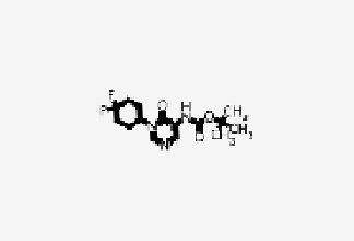 CC(C)(C)OC(=O)Nc1cncn(C2CCC(F)(F)CC2)c1=O